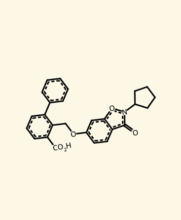 O=C(O)c1cccc(-c2ccccc2)c1COc1ccc2c(=O)n(C3CCCC3)oc2c1